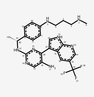 CNCCCNc1ccc([C@@H](C)Nc2ncc(N)c(-c3c[nH]c4ncc(C(F)(F)F)cc34)n2)cc1